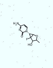 CC1OC2[C@@H](n3ccc(N)nc3=O)C2(F)C1O